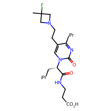 CC(C)C[C@@H](C(=O)NCCC(=O)O)n1cc(CCN2CC(C)(F)C2)c(C(C)C)nc1=O